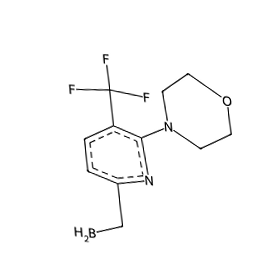 BCc1ccc(C(F)(F)F)c(N2CCOCC2)n1